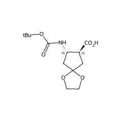 CC(C)(C)OC(=O)N[C@H]1CC2(C[C@@H]1C(=O)O)OCCO2